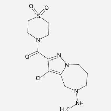 CNN1CCCn2nc(C(=O)N3CCS(=O)(=O)CC3)c(Cl)c2C1